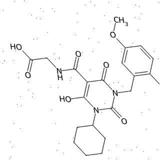 COc1ccc(Br)c(Cn2c(=O)c(C(=O)NCC(=O)O)c(O)n(C3CCCCC3)c2=O)c1